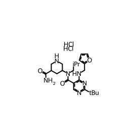 CC(C)CN(C(=O)c1cnc(C(C)(C)C)nc1NCc1ccco1)C1CNCC(C(N)=O)C1.Cl.Cl